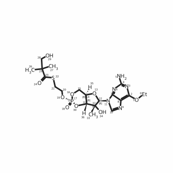 CCOc1nc(N)nc2c1ncn2[C@@H]1O[C@@H]2CO[P@@](=O)(OCCSC(=O)C(C)(C)CO)O[C@H]2[C@@]1(C)O